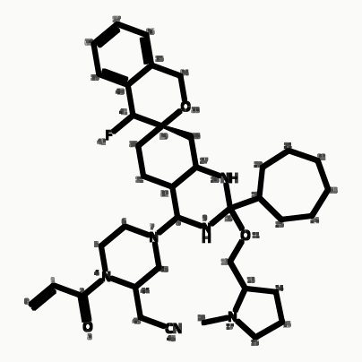 C=CC(=O)N1CCN(C2NC(OCC3CCCN3C)(C3CCCCCC3)NC3C[C@]4(CCC32)OCc2ccccc2C4F)CC1CC#N